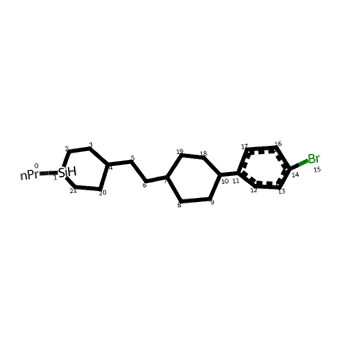 CCC[SiH]1CCC(CCC2CCC(c3ccc(Br)cc3)CC2)CC1